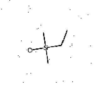 CC[Si](C)(C)[O]